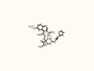 COc1ccc2ncc(N(C)C)c([C@H](O)CCC3(C(=O)NO)CCN(CC#Cc4cccs4)CC3)c2c1